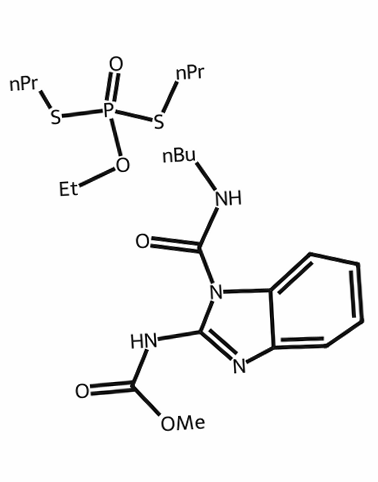 CCCCNC(=O)n1c(NC(=O)OC)nc2ccccc21.CCCSP(=O)(OCC)SCCC